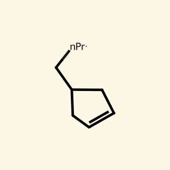 CC[CH]CC1CC=CC1